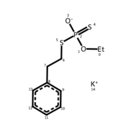 CCOP([O-])(=S)SCCc1ccccc1.[K+]